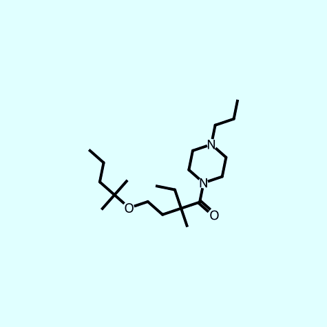 CCCN1CCN(C(=O)C(C)(CC)CCOC(C)(C)CCC)CC1